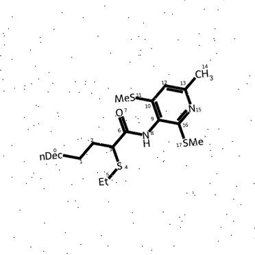 CCCCCCCCCCCCC(SCC)C(=O)Nc1c(SC)cc(C)nc1SC